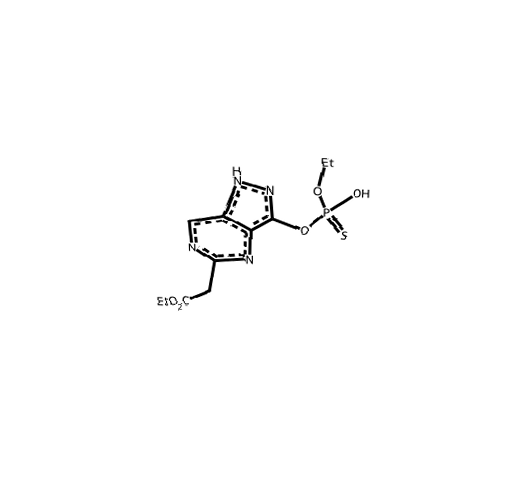 CCOC(=O)Cc1ncc2[nH]nc(OP(O)(=S)OCC)c2n1